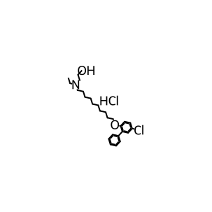 CCN(CCO)CCCCCCCCCCOc1ccc(Cl)cc1-c1ccccc1.Cl